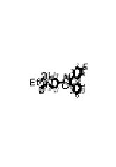 CCN(O)C(=O)N1CCC(c2nc(-c3ccc(F)cc3)c(-c3ccccc3)o2)CC1